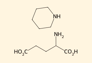 C1CCNCC1.NC(CCC(=O)O)C(=O)O